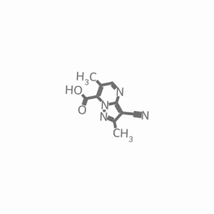 Cc1cnc2c(C#N)c(C)nn2c1C(=O)O